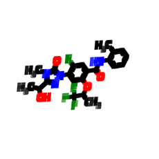 Cc1ccccc1NC(=O)c1cc(F)c(-n2nc(C(C)O)n(C)c2=O)cc1OC(C)C(F)(F)F